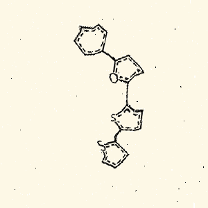 c1ccc(-c2ccc(-c3ccc(-c4cccs4)s3)o2)cc1